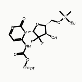 CCCCCCCOC(=O)Nc1ccnc(=O)n1[C@@H]1O[C@H](CO[Si](C)(C)C(C)(C)C)[C@@H](O)C1(F)F